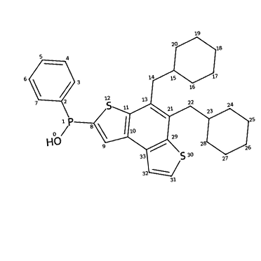 OP(c1ccccc1)c1cc2c(s1)c(CC1CCCCC1)c(CC1CCCCC1)c1sccc12